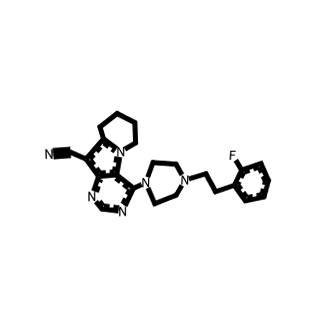 N#Cc1c2n(c3c(N4CCN(CCc5ccccc5F)CC4)ncnc13)CCCC2